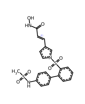 CS(=O)(=O)Nc1ccc(-c2ccccc2S(=O)(=O)n2ccc(/C=C/C(=O)NO)c2)cc1